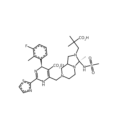 CCOC(=O)C1=C(CN2CCN3C(C2)CN(CC(C)(C)C(=O)O)[C@@]3(C)NS(C)(=O)=O)NC(c2nccs2)=N[C@H]1c1cccc(F)c1C